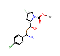 CC(C)(C)OC(=O)N1C[C@@H](F)C[C@H]1C(O)SC(N)c1ccc(Br)cc1